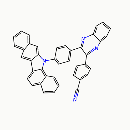 N#Cc1ccc(-c2nc3ccccc3nc2-c2ccc(-n3c4cc5ccccc5cc4c4ccc5ccccc5c43)cc2)cc1